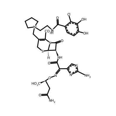 NC(=O)C[C@H](O/N=C(\C(=O)N[C@@H]1C(=O)N2C(C(=O)O)=C(C[N+]3(CCNC(=O)c4ccc(O)c(O)c4Cl)CCCC3)CS[C@H]12)c1csc(N)n1)C(=O)O